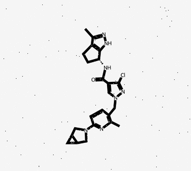 Cc1nc(N2CC3CC3C2)ccc1Cn1cc(C(=O)N[C@@H]2CCc3c(C)n[nH]c32)c(Cl)n1